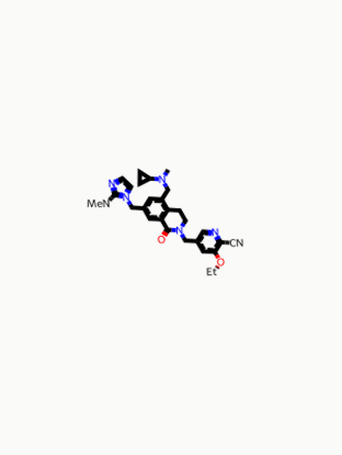 CCOc1cc(CN2CCc3c(CN(C)C4CC4)cc(Cn4ccnc4NC)cc3C2=O)cnc1C#N